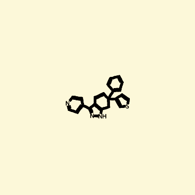 C1=CC(c2ccccc2)(c2ccsc2)Cc2[nH]nc(-c3ccncc3)c21